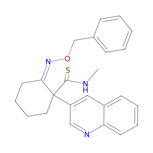 CNC(=S)C1(c2cnc3ccccc3c2)CCCC/C1=N/OCc1ccccc1